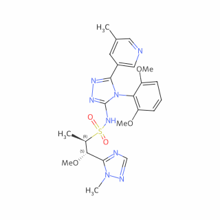 COc1cccc(OC)c1-n1c(NS(=O)(=O)[C@H](C)[C@@H](OC)c2ncnn2C)nnc1-c1cncc(C)c1